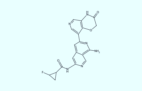 Nc1nc(-c2cncc3c2OCC(=O)N3)cc2cc(NC(=O)C3CC3F)ncc12